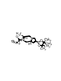 C[C@H]1CN2CC(B3OC(C)(C)C(C)(C)O3)=C[C@H]2CN1C(=O)OC(C)(C)C